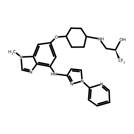 Cn1cnc2c(Nc3ccn(-c4ccccn4)n3)cc(OC3CCC(NC[C@@H](O)C(F)(F)F)CC3)cc21